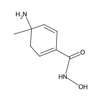 CC1(N)C=CC(C(=O)NO)=CC1